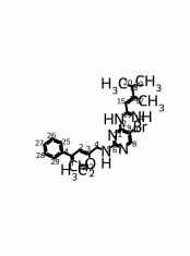 C=C(/C=C(/CNc1ncc(Br)c(NC(=N)/C=C(\C)C(C)C)n1)OC)c1ccccc1